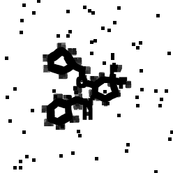 C[C@H](N[C@H]1CCC(F)(F)CC1OCc1ccccc1)c1ccccc1